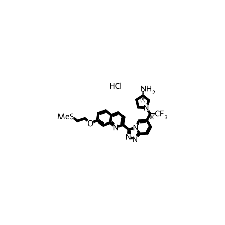 CSCCOc1ccc2ccc(-c3nnc4ccc([C@@H](N5CC[C@H](N)C5)C(F)(F)F)cn34)nc2c1.Cl